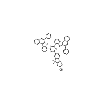 CC1(C)C2=C(C=CC(C#N)C2)c2ccc(-c3nc(-c4cccc5c4oc4c(-c6ccccc6)cc6ccccc6c45)nc(-c4cccc5c4oc4c(-c6ccccc6)cc6ccccc6c45)n3)cc21